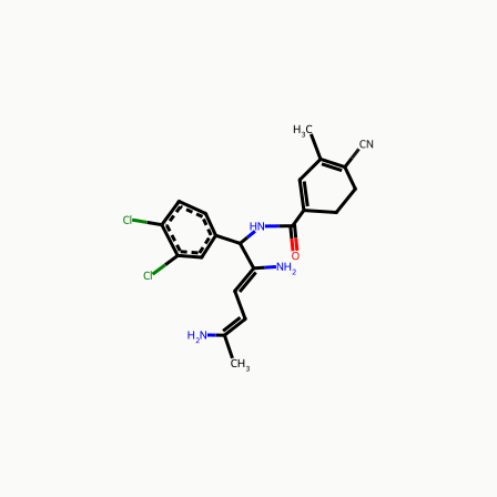 CC1=C(C#N)CCC(C(=O)NC(/C(N)=C/C=C(/C)N)c2ccc(Cl)c(Cl)c2)=C1